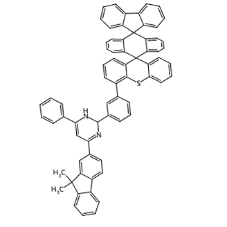 CC1(C)c2ccccc2-c2ccc(C3=NC(c4cccc(-c5cccc6c5Sc5ccccc5C65c6ccccc6C6(c7ccccc7-c7ccccc76)c6ccccc65)c4)NC(c4ccccc4)=C3)cc21